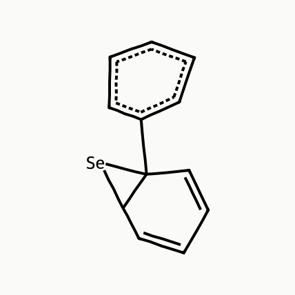 C1=CC2[Se]C2(c2ccccc2)C=C1